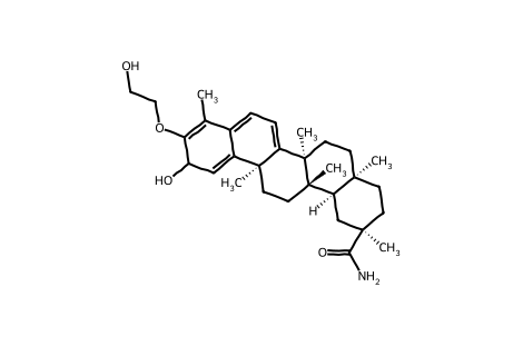 CC1=C(OCCO)C(O)C=C2C1=CC=C1[C@@]2(C)CC[C@@]2(C)[C@@H]3C[C@](C)(C(N)=O)CC[C@]3(C)CC[C@]12C